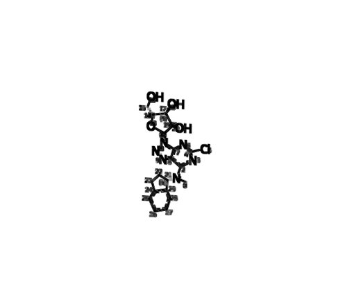 CN(c1nc(Cl)nc2c1nnn2[C@@H]1O[C@H](CO)[C@@H](O)[C@H]1O)[C@H]1CCc2ccccc21